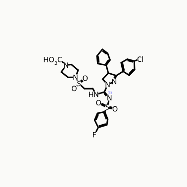 O=C(O)N1CCN(S(=O)(=O)CCN/C(=N\S(=O)(=O)c2ccc(F)cc2)N2CC(c3ccccc3)C(c3ccc(Cl)cc3)=N2)CC1